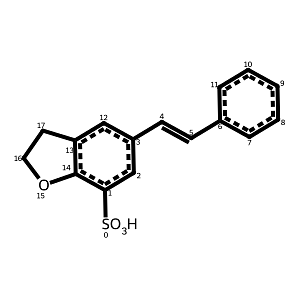 O=S(=O)(O)c1cc(/C=C/c2ccccc2)cc2c1OCC2